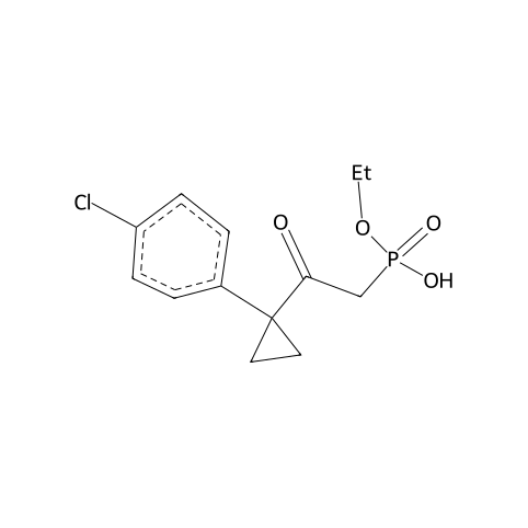 CCOP(=O)(O)CC(=O)C1(c2ccc(Cl)cc2)CC1